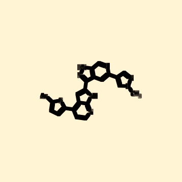 CC(=O)c1ccc(-c2ccnc3[nH]c(-c4n[nH]c5cnc(-c6cnn(C)c6)cc45)cc23)s1